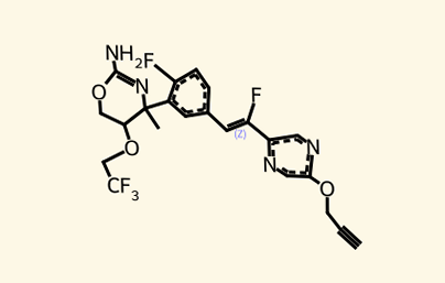 C#CCOc1cnc(/C(F)=C/c2ccc(F)c(C3(C)N=C(N)OCC3OCC(F)(F)F)c2)cn1